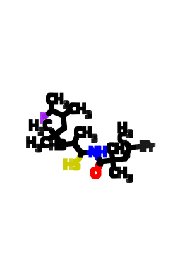 CC(C)C(C)CC(C)(C)C(=O)NC(S)C(C)BC(C)(C)CC(C)C(C)I